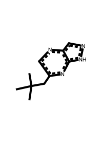 CC(C)(C)Cc1cnc2cn[nH]c2n1